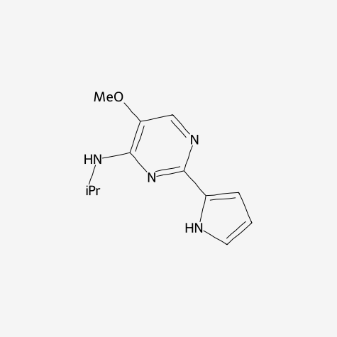 COc1cnc(-c2ccc[nH]2)nc1NC(C)C